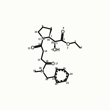 CCOC(=O)[C@@H](O)[C@@H]1CCCN1C(=O)CCC(=O)N(C)Cc1ccccc1